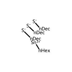 CCCCCCCCCC[S-].CCCCCCCCCC[S-].CCCCCCCCCC[S-].CCCCC[CH2][Sn+3]